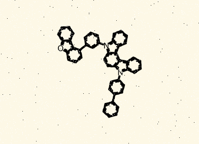 c1ccc(-c2ccc(-n3c4ccccc4c4c5c6ccccc6n(-c6cccc(-c7cccc8oc9ccccc9c78)c6)c5ccc43)cc2)cc1